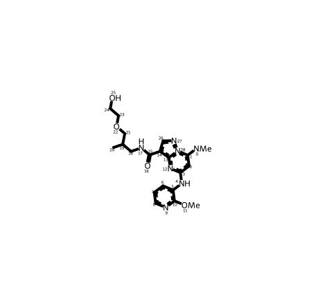 CNc1cc(Nc2cccnc2OC)nc2c(C(=O)NCC(C)COCCO)cnn12